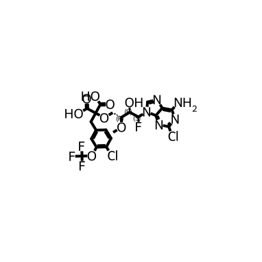 CO[C@H](COC(Cc1ccc(Cl)c(OC(F)(F)F)c1)(C(=O)O)C(=O)O)[C@@H](O)[C@H](F)n1cnc2c(N)nc(Cl)nc21